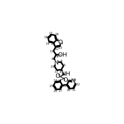 O=S(=O)(NC1CCN(CC(O)Cc2coc3ccccc23)CC1)c1ccccc1-c1cccnc1